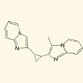 Cc1c(C2CC2c2cn3ccccc3n2)nc2ccccn12